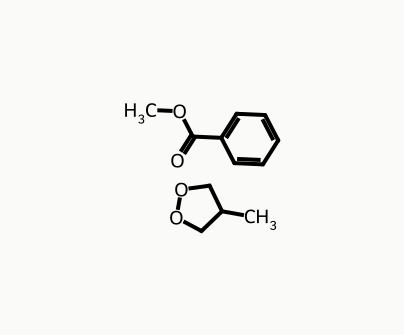 CC1COOC1.COC(=O)c1ccccc1